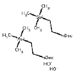 CCCCCCCCCCCC[As+](C)(C)C.CCCCCCCCCCC[CH2][Sb+]([CH3])([CH3])[CH3].[OH-].[OH-]